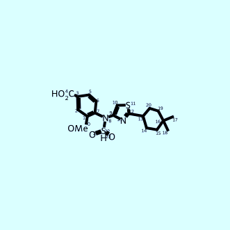 COc1cc(C(=O)O)ccc1N(c1csc(C2CCC(C)(C)CC2)n1)[SH](=O)=O